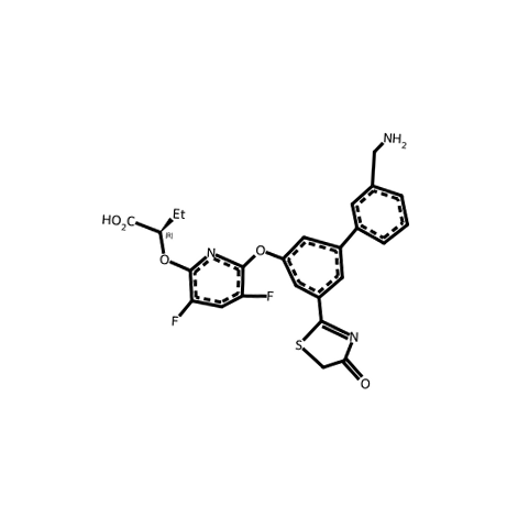 CC[C@@H](Oc1nc(Oc2cc(C3=NC(=O)CS3)cc(-c3cccc(CN)c3)c2)c(F)cc1F)C(=O)O